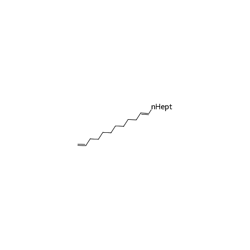 C=CCCCCCCCCC=CCCCCCCC